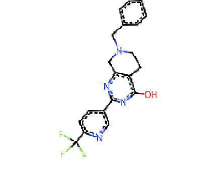 Oc1nc(-c2ccc(C(F)(F)F)nc2)nc2c1CCN(Cc1ccccc1)C2